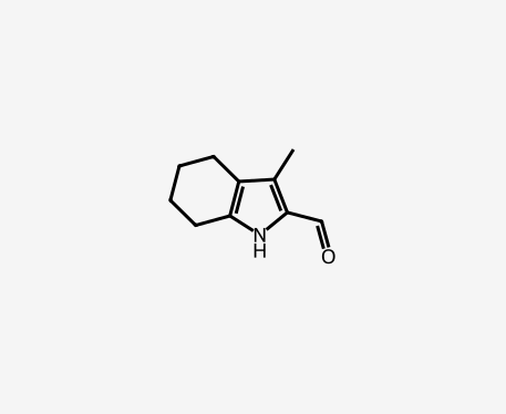 Cc1c(C=O)[nH]c2c1CCCC2